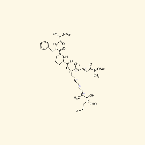 CNC(C(=O)NC(Cc1ccccc1)C(=O)N1CCCC(C(=O)O[C@@H](C/C=C/C=C/C=C(\C)C(O)[C@H](C=O)CCC(C)=O)/C(C)=C/C=C/C(=O)N(C)OC)N1)C(C)C